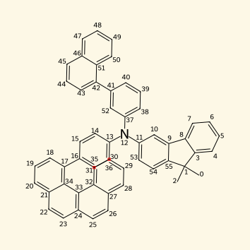 CC1(C)c2ccccc2-c2cc(N(c3ccc(-c4cccc5ccc6ccc7ccccc7c6c45)cc3)c3cccc(-c4cccc5ccccc45)c3)ccc21